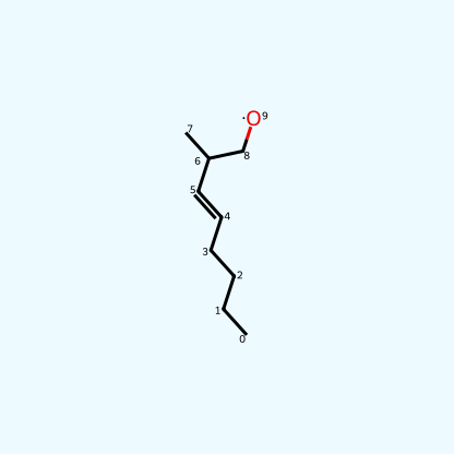 CCCCC=CC(C)C[O]